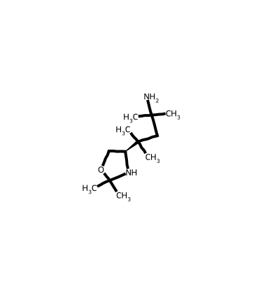 CC(C)(N)CC(C)(C)[C@@H]1COC(C)(C)N1